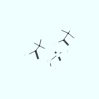 CNS(C)(=O)=O.O=C(O)C(F)(F)F.O=C(O)C(F)(F)F